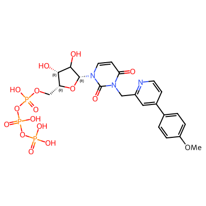 COc1ccc(-c2ccnc(Cn3c(=O)ccn([C@@H]4O[C@H](COP(=O)(O)OP(=O)(O)OP(=O)(O)O)[C@H](O)C4O)c3=O)c2)cc1